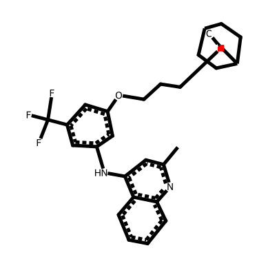 Cc1cc(Nc2cc(OCCCN3CC4CCC(CC4)C3)cc(C(F)(F)F)c2)c2ccccc2n1